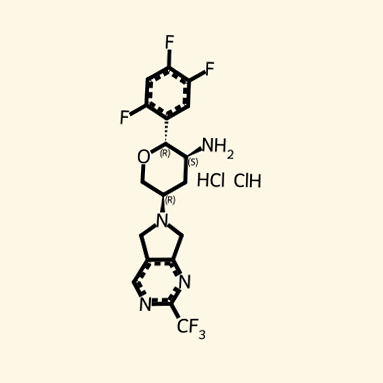 Cl.Cl.N[C@H]1C[C@@H](N2Cc3cnc(C(F)(F)F)nc3C2)CO[C@@H]1c1cc(F)c(F)cc1F